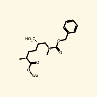 C[C@@H](CC[C@@H](CN(C)C(=O)OCc1ccccc1)C(=O)O)C(=O)OC(C)(C)C